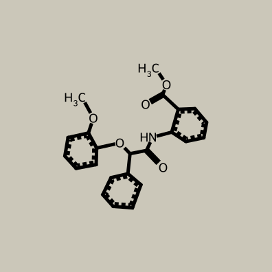 COC(=O)c1ccccc1NC(=O)C(Oc1ccccc1OC)c1ccccc1